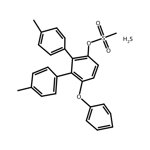 Cc1ccc(-c2c(Oc3ccccc3)ccc(OS(C)(=O)=O)c2-c2ccc(C)cc2)cc1.S